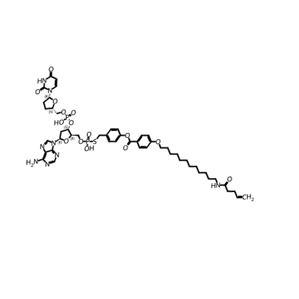 C=CCCC(=O)NCCCCCCCCCCCCOc1ccc(C(=O)Oc2ccc(CSP(=O)(O)OC[C@H]3O[C@@H](n4cnc5c(N)ncnc54)C[C@@H]3OP(=O)(O)OC[C@@H]3CC[C@H](n4ccc(=O)[nH]c4=O)O3)cc2)cc1